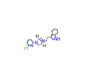 Clc1cccc(N2C[C@H]3C[C@@H]2CN3CCc2c[nH]c3ccccc23)n1